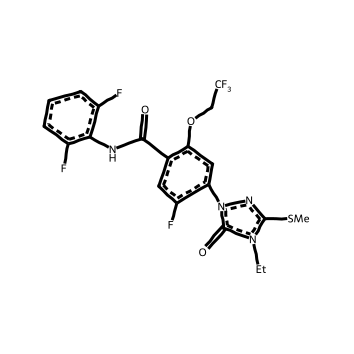 CCn1c(SC)nn(-c2cc(OCC(F)(F)F)c(C(=O)Nc3c(F)cccc3F)cc2F)c1=O